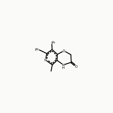 Cc1nc(C(C)C)c(C(C)C)c2c1NC(=O)CO2